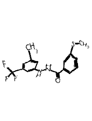 CSc1cccc(C(=O)NNc2cc(C)cc(C(F)(F)F)c2)c1